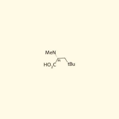 CN[C@H](CC(C)(C)C)C(=O)O